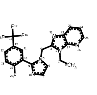 CCn1c(Cn2ccnc2-c2cc(C(F)(F)F)ccc2F)nc2cccnc21